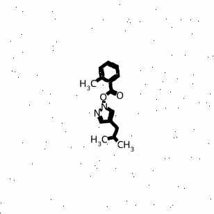 Cc1ccccc1C(=O)On1cc(CC(C)C)cn1